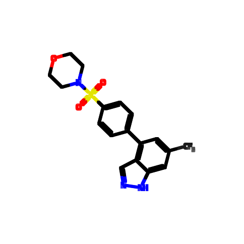 O=S(=O)(c1ccc(-c2cc(C(F)(F)F)cc3[nH]ncc23)cc1)N1CCOCC1